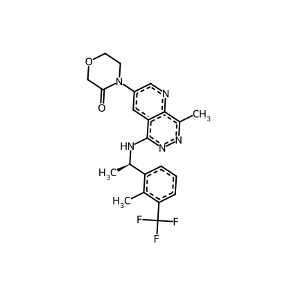 Cc1c([C@@H](C)Nc2nnc(C)c3ncc(N4CCOCC4=O)cc23)cccc1C(F)(F)F